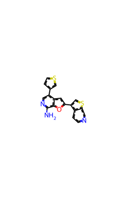 Nc1ncc(-c2ccsc2)c2cc(-c3csc4cnccc34)oc12